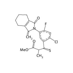 C=C1C2=C(CCCC2)C(=O)N1c1cc(C(=S)C(C)C(=O)OC)c(Cl)cc1F